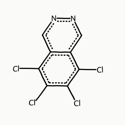 Clc1c(Cl)c(Cl)c2cnncc2c1Cl